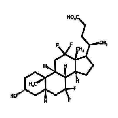 C[C@H](CCC(=O)O)C1CC[C@H]2[C@H]3[C@H](CC(F)(F)[C@]12C)[C@@]1(C)CC[C@@H](O)C[C@H]1CC3(F)F